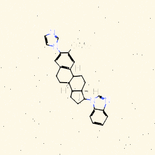 COc1cc2c(cc1-n1ccnc1)CC[C@@H]1[C@@H]2CC[C@]2(C)C(n3cnc4ccccc43)CC[C@@H]12